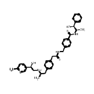 CC(Cc1ccc(CC(=O)NCc2ccc(C(=O)N[C@H](C)[C@@H](O)c3ccccc3)cc2)cc1)NC[C@H](O)c1ccc(N)nc1